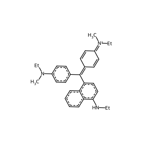 CCNc1ccc(C(=C2C=CC(=[N+](C)CC)C=C2)c2ccc(N(C)CC)cc2)c2ccccc12